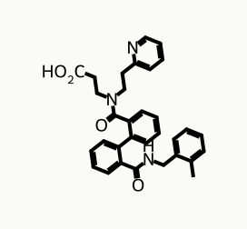 Cc1ccccc1CNC(=O)c1ccccc1-c1ccccc1C(=O)N(CCC(=O)O)CCc1ccccn1